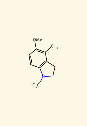 COc1ccc2c(c1C)CCN2C(=O)O